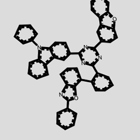 c1ccc(-c2nc3cccc(-c4ccccc4-c4nc(-c5ccc6oc7ccccc7c6c5)nc(-c5ccc6c(c5)c5ccccc5n6-c5ccccc5)n4)c3o2)cc1